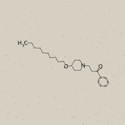 CCCCCCCCCCOC1CCN(CCC(=O)c2ccccc2)CC1